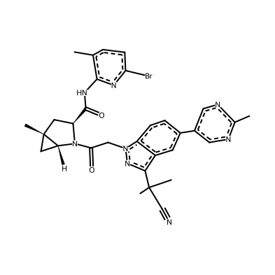 Cc1ncc(-c2ccc3c(c2)c(C(C)(C)C#N)nn3CC(=O)N2[C@H](C(=O)Nc3nc(Br)ccc3C)C[C@@]3(C)C[C@@H]23)cn1